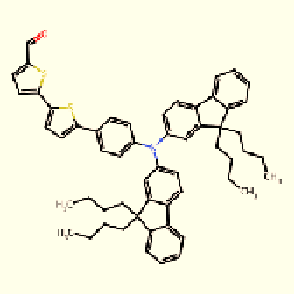 CCCCC1(CCCC)c2ccccc2-c2ccc(N(c3ccc(-c4ccc(-c5ccc(C=O)s5)s4)cc3)c3ccc4c(c3)C(CCCC)(CCCC)c3ccccc3-4)cc21